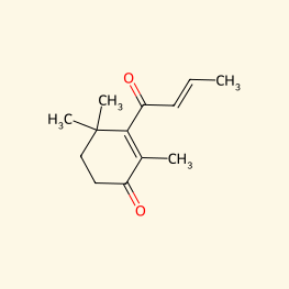 CC=CC(=O)C1=C(C)C(=O)CCC1(C)C